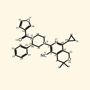 CC1(C)Cc2c(C#N)c(N3CCN(C(=O)c4ccoc4)[C@H](c4ccccc4)C3)nc(C3CC3)c2CO1